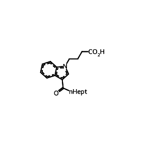 CCCCCCCC(=O)c1cn(CCCC(=O)O)c2ccccc12